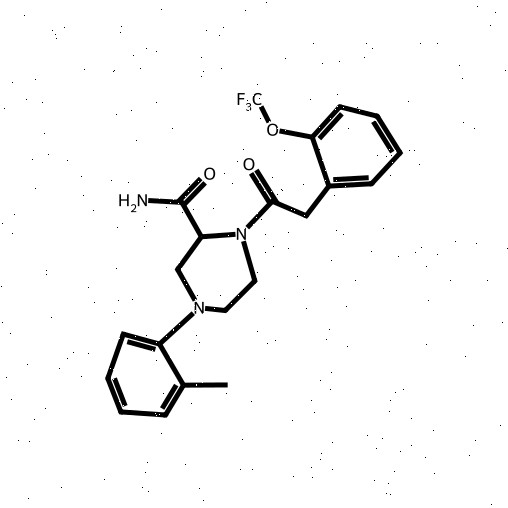 Cc1ccccc1N1CCN(C(=O)Cc2ccccc2OC(F)(F)F)C(C(N)=O)C1